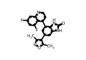 Cc1noc(C)c1-c1cc(-c2ccnc3cc(F)cc(F)c23)c2[nH]c(=O)[nH]c2c1